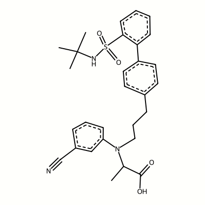 CC(C(=O)O)N(CCCc1ccc(-c2ccccc2S(=O)(=O)NC(C)(C)C)cc1)c1cccc(C#N)c1